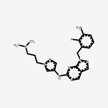 CN(C)CCCn1cc(Nc2ncc3cnn(Cc4cccc(N)c4F)c3n2)cn1